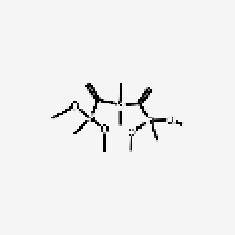 C=C([Si](C)(OC)OC)[Si](C)(C)C(=C)[Si](C)(OC)OC